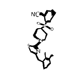 Cc1cccc(Cc2csc(N3CCC(S(=O)(=O)c4ccccc4C#N)CC3)n2)c1C